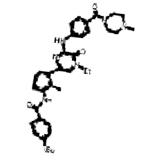 CCn1cc(-c2cccc(NC(=O)c3ccc(C(C)(C)C)cc3)c2C)nc(Nc2ccc(C(=O)N3CCN(C)CC3)cc2)c1=O